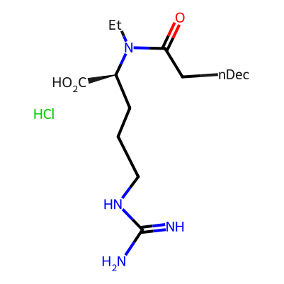 CCCCCCCCCCCC(=O)N(CC)[C@@H](CCCNC(=N)N)C(=O)O.Cl